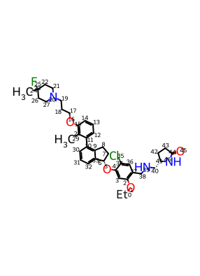 CCOc1cc(O[C@H]2CCc3c(-c4cccc(OCCCN5CCC(C)(F)CC5)c4C)cccc32)c(Cl)cc1CNC[C@@H]1CCC(=O)N1